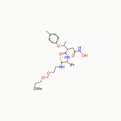 COCCOCOCCNC(=S)C(NC(=O)C(CC(=O)NO)C(C)Oc1ccc(C)cc1)C(C)C